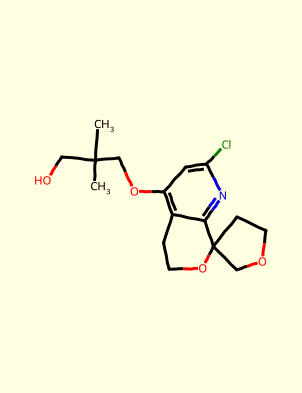 CC(C)(CO)COc1cc(Cl)nc2c1CCOC21CCOC1